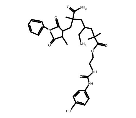 CC1C(=O)N(c2ccccc2)C(=O)C1CC(C)(CC(CN)CC(C)(C)C(=O)OCCNC(=O)Nc1ccc(O)cc1)C(N)=O